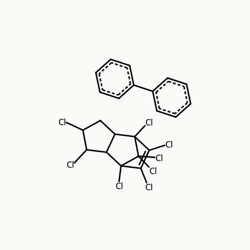 ClC1=C(Cl)C2(Cl)C3C(Cl)C(Cl)CC3C1(Cl)C2(Cl)Cl.c1ccc(-c2ccccc2)cc1